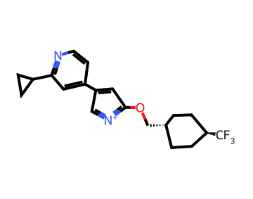 FC(F)(F)[C@H]1CC[C@H](COC2=[N+]=CC(c3ccnc(C4CC4)c3)=C2)CC1